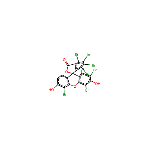 O=C1OC2(c3ccc(O)c(Br)c3Oc3c(Br)c(O)c(Br)c(Br)c32)c2c(Br)c(Br)c(Br)c(Br)c21